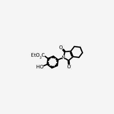 CCOC(=O)c1cc(N2C(=O)C3=C(CCCC3)C2=O)ccc1O